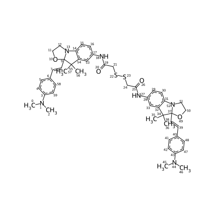 CN(C)c1ccc(/C=C/C23OCCN2c2ccc(NC(=O)CSSCC(=O)Nc4ccc5c(c4)C(C)(C)C4(/C=C/c6ccc(N(C)C)cc6)OCCN54)cc2C3(C)C)cc1